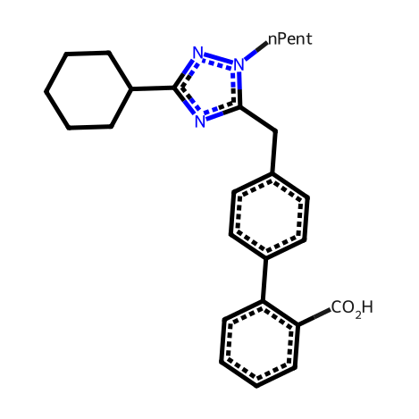 CCCCCn1nc(C2CCCCC2)nc1Cc1ccc(-c2ccccc2C(=O)O)cc1